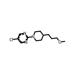 COCCCC1CCN(c2ncc(Cl)cn2)CC1